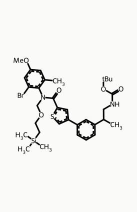 COc1cc(C)c(N(COCC[Si](C)(C)C)C(=O)c2cc(-c3cccc(C(C)CNC(=O)OC(C)(C)C)c3)cs2)c(Br)c1